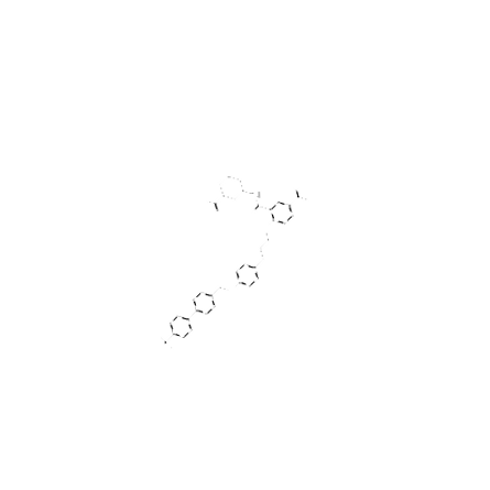 O=C(O)c1ccc(OCCCc2ccc(OCc3ccc(-c4ccc(C(F)(F)F)cc4)cc3)cc2)c(C(=O)NC2CCCC(C(=O)O)C2)c1